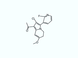 COC1=Cc2c(C(C)=O)c(Cl)c(-c3cccnc3F)n2CC1